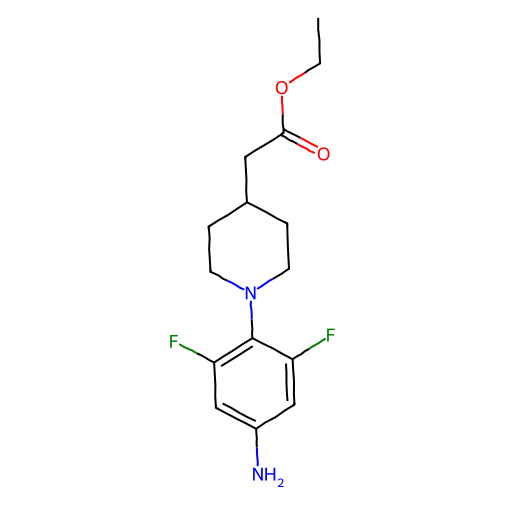 CCOC(=O)CC1CCN(c2c(F)cc(N)cc2F)CC1